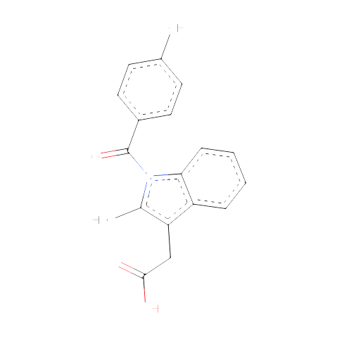 Cc1ccc(C(=O)n2c(C)c(CC(=O)O)c3ccccc32)cc1